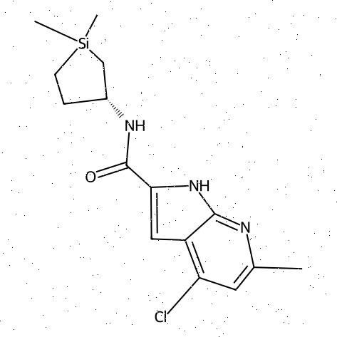 Cc1cc(Cl)c2cc(C(=O)N[C@@H]3CC[Si](C)(C)C3)[nH]c2n1